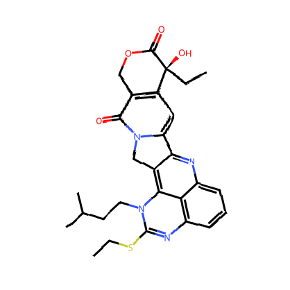 CCSC1=Nc2cccc3nc4c(c(c23)N1CCC(C)C)Cn1c-4cc2c(c1=O)COC(=O)[C@]2(O)CC